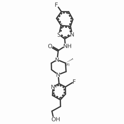 C[C@@H]1CN(c2ncc(CCO)cc2F)CCN1C(=O)Nc1nc2ccc(F)cc2s1